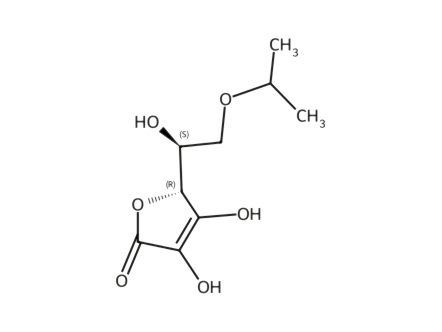 CC(C)OC[C@H](O)[C@H]1OC(=O)C(O)=C1O